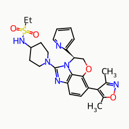 CCS(=O)(=O)NC1CCN(c2nc3ccc(-c4c(C)noc4C)c4c3n2[C@@H](c2ccccn2)CO4)CC1